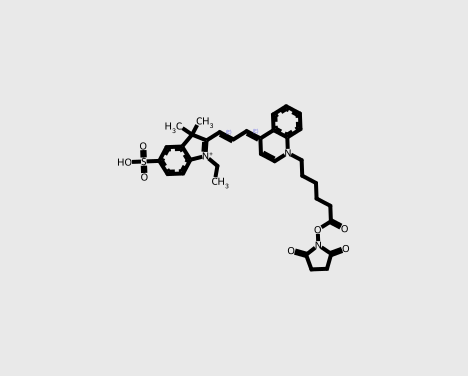 CC[N+]1=C(/C=C/C=C2\C=CN(CCCCCC(=O)ON3C(=O)CCC3=O)c3ccccc32)C(C)(C)c2cc(S(=O)(=O)O)ccc21